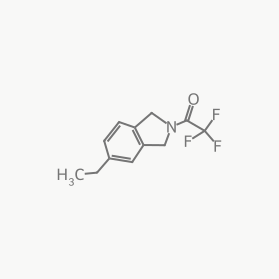 CCc1ccc2c(c1)CN(C(=O)C(F)(F)F)C2